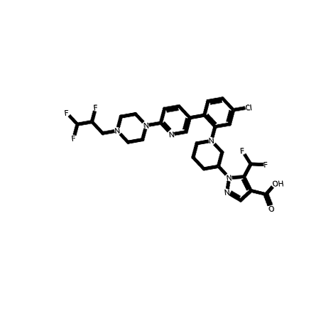 O=C(O)c1cnn(C2CCCN(c3cc(Cl)ccc3-c3ccc(N4CCN(CC(F)C(F)F)CC4)nc3)C2)c1C(F)F